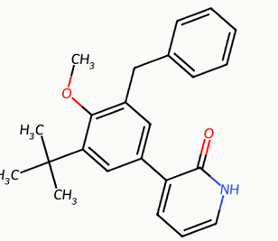 COc1c(Cc2ccccc2)cc(-c2ccc[nH]c2=O)cc1C(C)(C)C